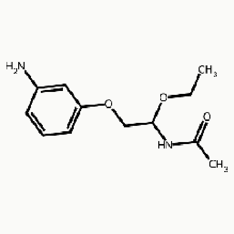 CCOC(COc1cccc(N)c1)NC(C)=O